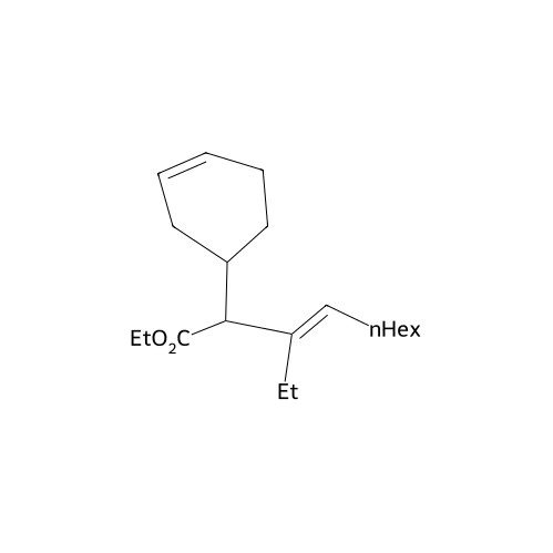 CCCCCCC=C(CC)C(C(=O)OCC)C1CC=CCC1